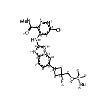 CNC(=O)c1nnc(Cl)cc1Nc1nc2ccc(N3CC(F)(CO[Si](C)(C)C(C)(C)C)C3)cn2n1